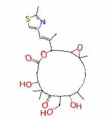 C/C(=C\c1csc(C)n1)C1CC2OC2(C)CCCC(C)C(O)C(CO)C(=O)C(C)(C)C(O)CC(=O)O1